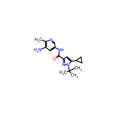 Cc1ncc(NC(=O)c2cc(C3CC3)n(C(C)(C)C)n2)cc1N